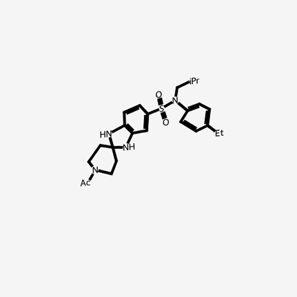 CCc1ccc(N(CC(C)C)S(=O)(=O)c2ccc3c(c2)NC2(CCN(C(C)=O)CC2)N3)cc1